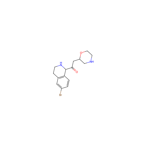 O=C(CC1CNCCO1)C1NCCc2cc(Br)ccc21